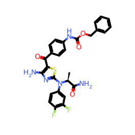 C[C@@H](C(N)=O)N(c1ccc(F)c(F)c1)c1nc(N)c(C(=O)c2ccc(NC(=O)OCc3ccccc3)cc2)s1